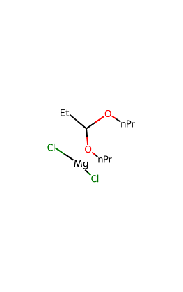 [CH2]CC(OCCC)OCCC.[Cl][Mg][Cl]